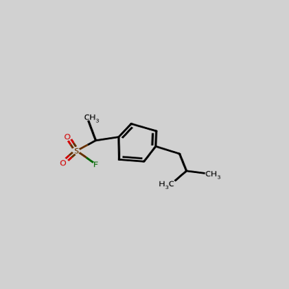 CC(C)Cc1ccc(C(C)S(=O)(=O)F)cc1